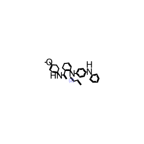 C=C/C=C\N(C1=C(C(=C)NC2=CC=C(OC)CC2)CCC=C1)c1ccc(Nc2ccccc2)cc1